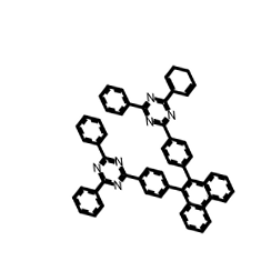 C1=CC(c2nc(-c3ccccc3)nc(-c3ccc(-c4c(-c5ccc(-c6nc(-c7ccccc7)nc(-c7ccccc7)n6)cc5)c5ccccc5c5ccccc45)cc3)n2)=CCC1